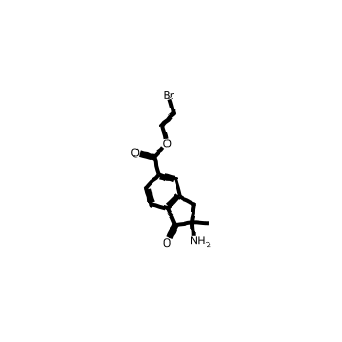 CC1(N)Cc2cc(C(=O)OCCBr)ccc2C1=O